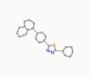 [c]1ccccc1-c1nnc(-c2ccc(-c3cccc4ccccc34)cc2)s1